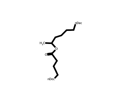 CCCCCCCCCCCCCCC(C)OC(=O)CCCCCCCCCCCCC